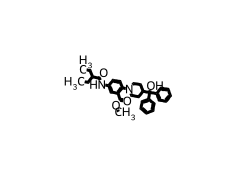 CCC(CC)C(=O)Nc1ccc(N2CCC(C(O)(c3ccccc3)c3ccccc3)CC2)c(C(=O)OC)c1